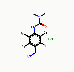 Cl.[2H]c1c([2H])c(NC(=O)N(C)C)c([2H])c([2H])c1CN